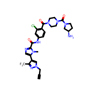 C#CCn1cc(-c2cnc(C(=O)Nc3ccc(C(=O)N4CCN(C(=O)N5CC[C@@H](N)C5)CC4)c(Cl)c3)n2C)c(C(F)(F)F)n1